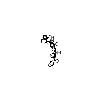 O=C(c1c(F)cccc1F)c1c[nH]c2c(=O)n(Cc3nc4ncc(C(=O)N5CCOCC5)cc4[nH]3)ccc12